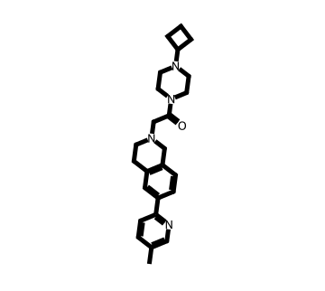 Cc1ccc(-c2ccc3c(c2)CCN(CC(=O)N2CCN(C4CCC4)CC2)C3)nc1